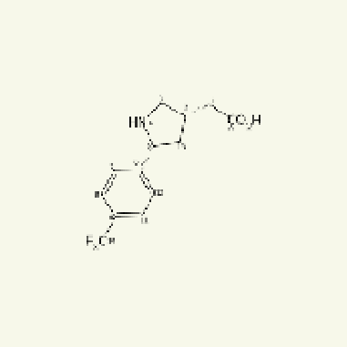 O=C(O)C[C@H]1CN[C@@H](c2ccc(C(F)(F)F)cc2)C1